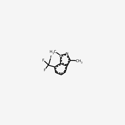 Cc1nn(C)c2c(C(F)(F)F)cccc12